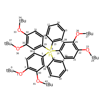 CC(C)(C)Oc1ccc([SH](c2ccccc2)(c2ccccc2)(c2ccc(OC(C)(C)C)c(OC(C)(C)C)c2)c2ccc(OC(C)(C)C)c(OC(C)(C)C)c2)cc1OC(C)(C)C